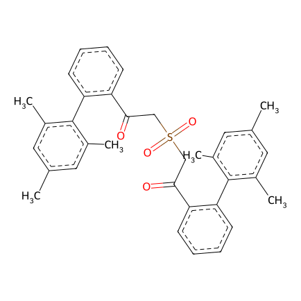 Cc1cc(C)c(-c2ccccc2C(=O)CS(=O)(=O)CC(=O)c2ccccc2-c2c(C)cc(C)cc2C)c(C)c1